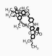 C=NC1=C(/N=C\C)C(c2ccc(N(CC)CC)cc2C)(c2ccc(N(CC)CCc3ccc(Nc4cc5c(cc4C)Oc4cc(N(C)CCC)ccc4C54OC(=O)c5ccccc54)cc3)cc2C)OC1=O